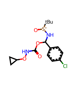 CC(C)(C)[S+]([O-])NC(OC(=O)NOC1CC1)c1ccc(Cl)cc1